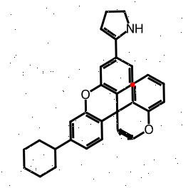 C1=C(c2ccc3c(c2)Oc2cc(C4CCCCC4)ccc2C32c3ccccc3Oc3ccccc32)NCC1